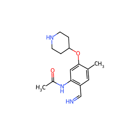 CC(=O)Nc1cc(OC2CCNCC2)c(C)cc1C=N